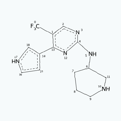 FC(F)(F)c1cnc(NC2CCCNC2)nc1-c1cc[nH]c1